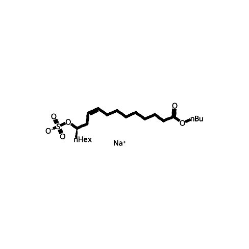 CCCCCC[C@H](C/C=C\CCCCCCCC(=O)OCCCC)OS(=O)(=O)[O-].[Na+]